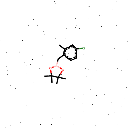 Cc1cc(Cl)ccc1CB1OC(C)(C)C(C)(C)O1